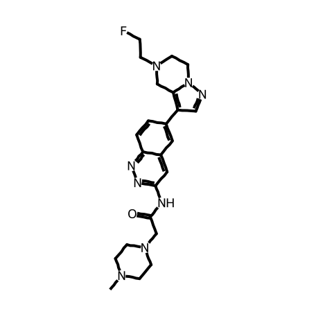 CN1CCN(CC(=O)Nc2cc3cc(-c4cnn5c4CN(CCF)CC5)ccc3nn2)CC1